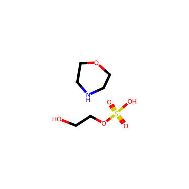 C1COCCN1.O=S(=O)(O)OCCO